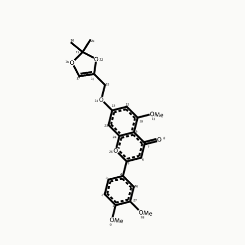 COc1ccc(-c2cc(=O)c3c(OC)cc(OCC4=COC(C)(C)O4)cc3o2)cc1OC